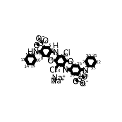 O=S(=O)([O-])c1cc2c(cc1Nc1ccccc1)Oc1c(c(Cl)c3oc4cc(=Nc5ccccc5)c(S(=O)(=O)[O-])cc-4nc3c1Cl)N2.[Na+].[Na+]